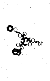 CCC(C)(CC(C)(CC(C)(C)C(=O)OCCN(C)C)C(=O)OCCOc1ccccc1)C(=O)OC1C2CC3CC(C2)CC1C3